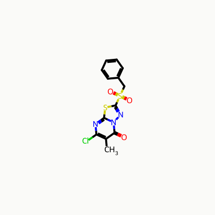 Cc1c(Cl)nc2sc(S(=O)(=O)Cc3ccccc3)nn2c1=O